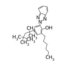 CCCCCCc1cc(C(C)(C)CC(C)(C)C)cc(-n2nc3ccccc3n2)c1O